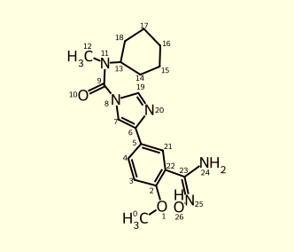 COc1ccc(-c2cn(C(=O)N(C)C3CCCCC3)cn2)cc1/C(N)=N\O